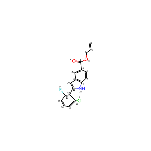 C=CCOC(=O)c1ccc2[nH]c(-c3c(F)cccc3Cl)cc2c1